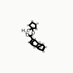 CC1(OC(=O)C2CC3CC2C2C4C=CC(C4)C32)CCCC1